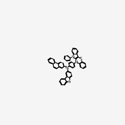 c1ccc(-n2c3c(c4ccccc42)Sc2ccccc2N3c2ccc(N(c3ccc4c(ccc5ccccc54)c3)c3ccc4sc5ccccc5c4c3)cc2)cc1